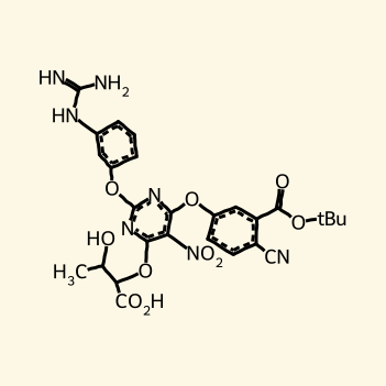 CC(O)C(Oc1nc(Oc2cccc(NC(=N)N)c2)nc(Oc2ccc(C#N)c(C(=O)OC(C)(C)C)c2)c1[N+](=O)[O-])C(=O)O